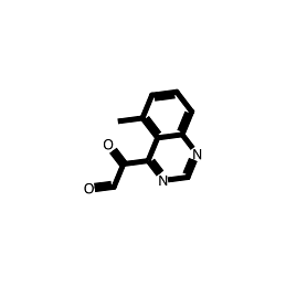 Cc1cccc2ncnc(C(=O)C=O)c12